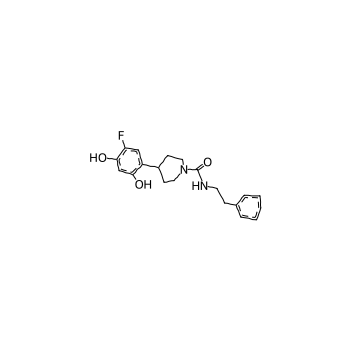 O=C(NCCc1ccccc1)N1CCC(c2cc(F)c(O)cc2O)CC1